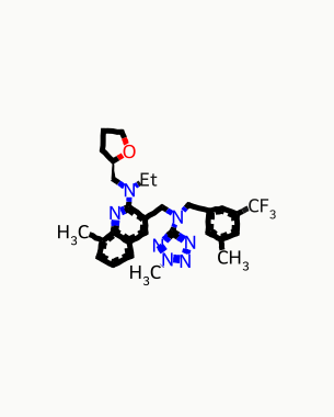 CCN(C[C@H]1CCCO1)c1nc2c(C)cccc2cc1CN(Cc1cc(C)cc(C(F)(F)F)c1)c1nnn(C)n1